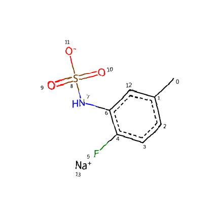 Cc1ccc(F)c(NS(=O)(=O)[O-])c1.[Na+]